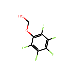 OCOc1c(F)c(F)c(F)c(F)c1F